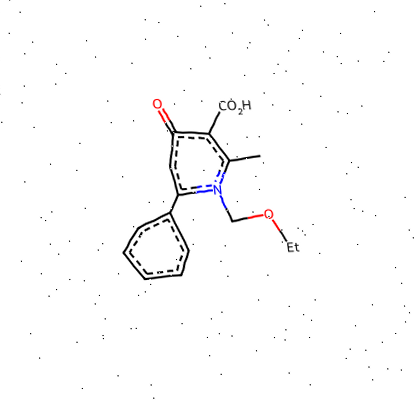 CCOCn1c(-c2ccccc2)cc(=O)c(C(=O)O)c1C